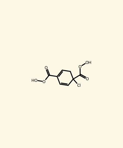 O=C(OO)C1=CCC(Cl)(C(=O)OO)C=C1